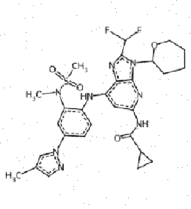 Cc1cnn(-c2ccc(Nc3cc(NC(=O)C4CC4)nc4c3nc(C(F)F)n4C3CCCCO3)c(N(C)S(C)(=O)=O)c2)c1